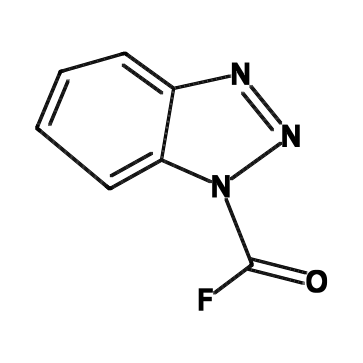 O=C(F)n1nnc2ccccc21